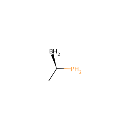 B[C@H](C)P